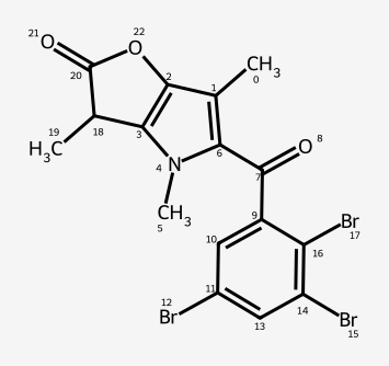 Cc1c2c(n(C)c1C(=O)c1cc(Br)cc(Br)c1Br)C(C)C(=O)O2